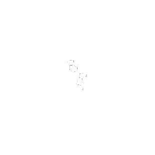 OCc1cnc2c(F)cc(-c3c[nH]c4nc(NC5CCC(F)(F)CC5)ncc34)cn12